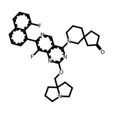 O=C1CCC2(CCCN(c3nc(OCC45CCCN4CCC5)nc4c(F)c(-c5cccc6cccc(F)c56)ncc34)C2)C1